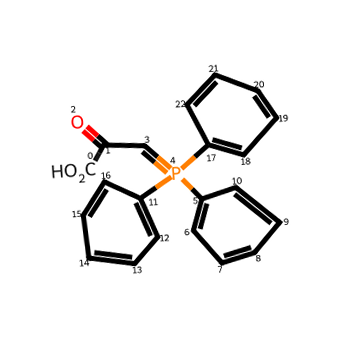 O=C(O)C(=O)C=P(c1ccccc1)(c1ccccc1)c1ccccc1